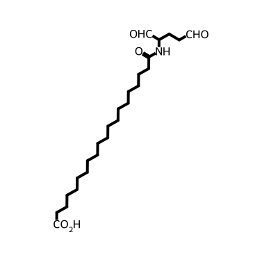 O=CCCC(C=O)NC(=O)CCCCCCCCCCCCCCCCCCC(=O)O